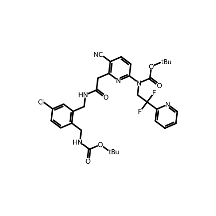 CC(C)(C)OC(=O)NCc1ccc(Cl)cc1CNC(=O)Cc1nc(N(CC(F)(F)c2ccccn2)C(=O)OC(C)(C)C)ccc1C#N